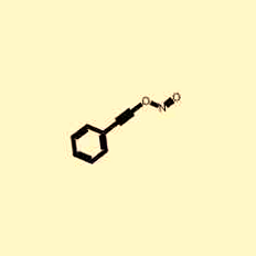 O=NOC#Cc1ccccc1